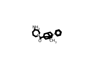 C[C@]12CC3CC(C(=O)N4CCCC(N)CC4)(C1)C[C@@](c1ccccc1)(C3)C2